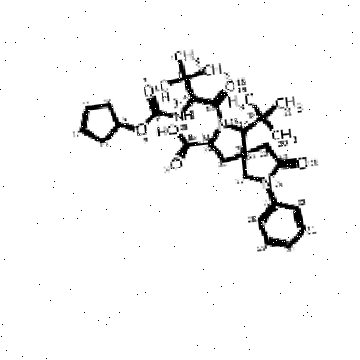 CC(C)(C)C(NC(=O)OC1CCCC1)C(=O)N1C(C(C)(C)C)[C@@]2(CC(=O)N(c3ccccc3)C2)C[C@H]1C(=O)O